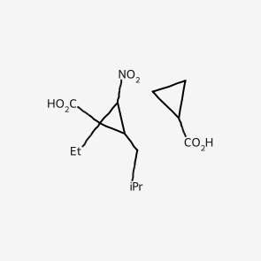 CCC1(C(=O)O)C(CC(C)C)C1[N+](=O)[O-].O=C(O)C1CC1